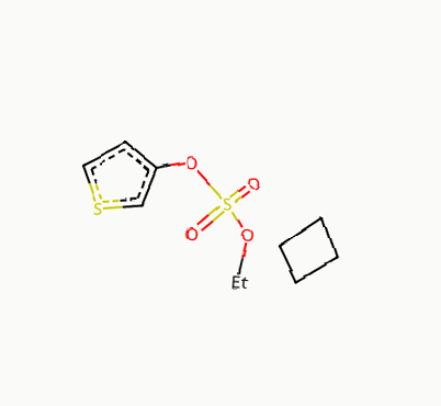 C1CCC1.CCOS(=O)(=O)Oc1ccsc1